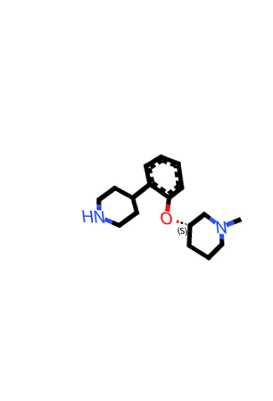 CN1CCC[C@H](Oc2ccccc2C2CCNCC2)C1